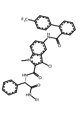 CCNC(=O)[C@@H](NC(=O)c1c(Cl)c2cc(NC(=O)c3ccccc3-c3ccc(C(F)(F)F)cc3)ccc2n1C)c1ccccc1